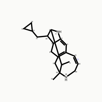 CC1C2NC3=CC4=C(CC3C2CC2CC2)CC1(C)NC/C=C\4